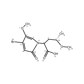 COc1cn(C(C[C@H](C)OC)C(=O)O)c(=O)cc1Br